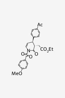 CCOC(=O)C[C@@H]1C(=O)N(S(=O)(=O)c2ccc(OC)cc2)C=C[C@H]1c1ccc(C(C)=O)cc1